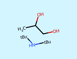 CC(C)(C)NC(C)(C)C.CC(O)CO